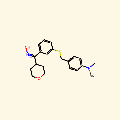 CC(=O)N(C)c1ccc(CSc2cccc(/C(=N\O)C3CCOCC3)c2)cc1